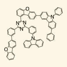 c1ccc(-c2ccc3c(c2)c2cc(-c4ccc5c(c4)oc4cccc(-c6nc(-c7cccc(-c8ccc9c(c8)oc8ccccc89)c7)nc(-c7cccc(-n8c9ccccc9c9ccccc98)c7)n6)c45)ccc2n3-c2ccccc2)cc1